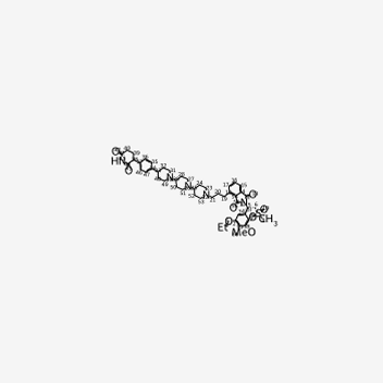 CCOc1cc([C@@H](CS(C)(=O)=O)N2C(=O)c3cccc(CCCN4CCC(N5CCC(N6CCC(c7ccc(C8CCC(=O)NC8=O)cc7)CC6)CC5)CC4)c3C2=O)ccc1OC